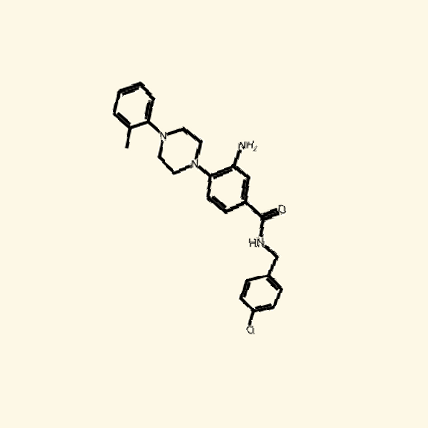 Cc1ccccc1N1CCN(c2ccc(C(=O)NCc3ccc(Cl)cc3)cc2N)CC1